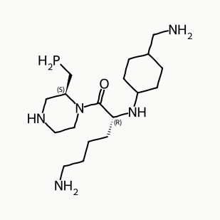 NCCCC[C@@H](NC1CCC(CN)CC1)C(=O)N1CCNC[C@H]1CP